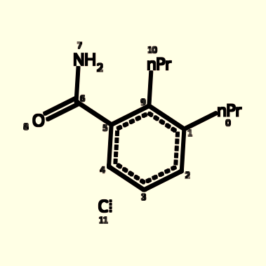 CCCc1cccc(C(N)=O)c1CCC.[C]